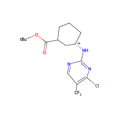 CC(C)(C)OC(=O)C1CCC[C@H](Nc2ncc(C(F)(F)F)c(Cl)n2)C1